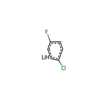 Fc1[c]cc(Cl)cc1.[LiH]